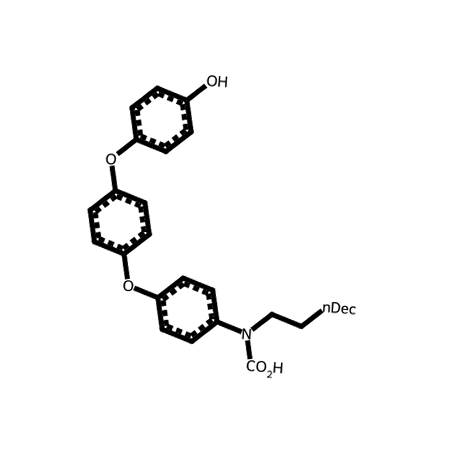 CCCCCCCCCCCCN(C(=O)O)c1ccc(Oc2ccc(Oc3ccc(O)cc3)cc2)cc1